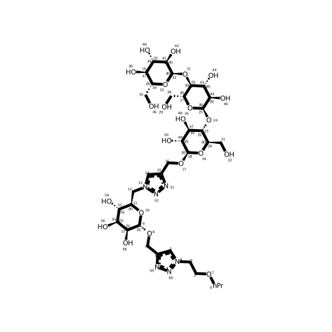 CCCOCCn1cc(CO[C@H]2O[C@H](Cn3cc(CO[C@@H]4O[C@H](CO)[C@@H](O[C@H]5O[C@H](CO)[C@@H](O[C@H]6O[C@H](CO)[C@@H](O)[C@H](O)[C@H]6O)[C@H](O)[C@H]5O)[C@H](O)[C@H]4O)nn3)[C@@H](O)[C@H](O)[C@@H]2O)nn1